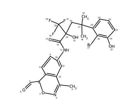 CC1=NOC(C=O)c2ccc(NC(=O)C(O)(CC(C)(C)c3cccc(O)c3Br)C(F)(F)F)cc21